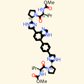 COC(=O)N[C@H](C(=O)N1CCC[C@H]1c1nc(-c2ccc(-c3ccc(-c4c[nH]c([C@@H]5CCCN5C(=O)[C@@H](NC(=O)OC)C(C)C)n4)c4nc[nH]c34)cc2)c[nH]1)C(C)C